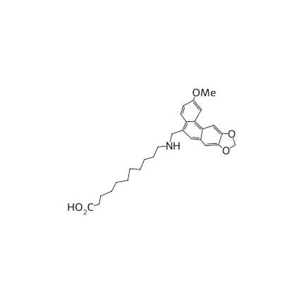 COc1ccc2c(CNCCCCCCCCCCC(=O)O)cc3cc4c(cc3c2c1)OCO4